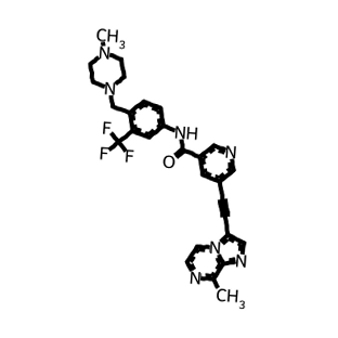 Cc1nccn2c(C#Cc3cncc(C(=O)Nc4ccc(CN5CCN(C)CC5)c(C(F)(F)F)c4)c3)cnc12